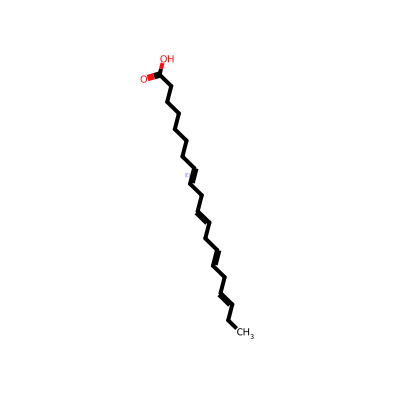 CCC=CCC=CCC=CC/C=C/CCCCCCC(=O)O